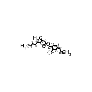 CCCCCCC(C)CC(=O)OCc1ccc(CCC)cc1Cl